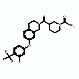 NC(=O)N1CCCC(C(=O)N2CCc3ccc(Oc4ccc(C(F)(F)F)c(F)c4)cc3C2)C1